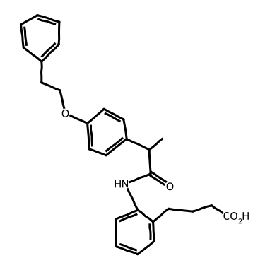 CC(C(=O)Nc1ccccc1CCCC(=O)O)c1ccc(OCCc2ccccc2)cc1